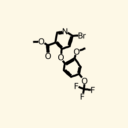 COC(=O)c1cnc(Br)cc1Oc1ccc(OC(F)(F)F)cc1OC